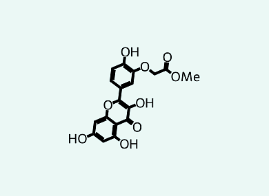 COC(=O)COc1cc(-c2oc3cc(O)cc(O)c3c(=O)c2O)ccc1O